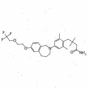 Cc1cc(N2CCCc3cc(OCCOCC(F)(F)F)ccc3C2)cc(C)c1CC(C)(C)CC(N)=O